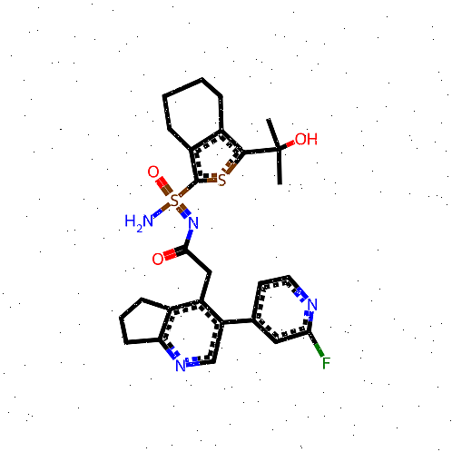 CC(C)(O)c1sc(S(N)(=O)=NC(=O)Cc2c(-c3ccnc(F)c3)cnc3c2CCC3)c2c1CCCC2